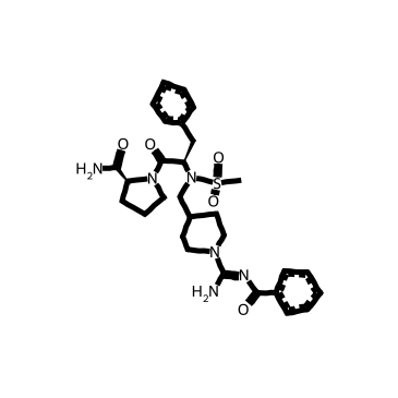 CS(=O)(=O)N(CC1CCN(C(N)=NC(=O)c2ccccc2)CC1)[C@H](Cc1ccccc1)C(=O)N1CCC[C@H]1C(N)=O